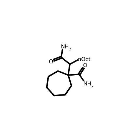 CCCCCCCCC(C(N)=O)C1(C(N)=O)CCCCCC1